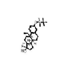 C=C[C@]12CC[C@@]3(C)[C@@H](CC[C@]3(O)F)[C@@H]1CCc1cc(O[Si](C)(C)C(C)(C)C)ccc12